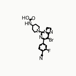 N#Cc1ccc(-c2nc(N3CCC(NC(=O)O)CC3)n3ccnc3c2Br)cc1F